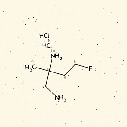 CC(N)(CN)CCF.Cl.Cl